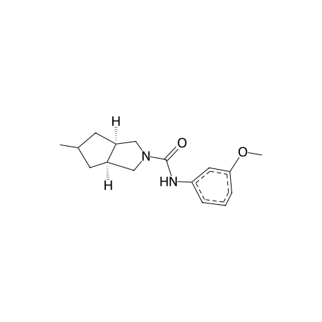 COc1cccc(NC(=O)N2C[C@H]3CC(C)C[C@H]3C2)c1